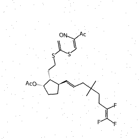 C=C(S/C=C(\N=O)C(C)=O)SCC[C@H]1[C@@H](OC(C)=O)CC[C@@H]1/C=C/CC(C)(C)CCC(F)=C(F)F